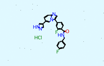 Cl.O=C(NCc1ccc(F)cc1)c1ccc(-c2cnc3ccc(-c4cn[nH]c4)cn23)cc1F